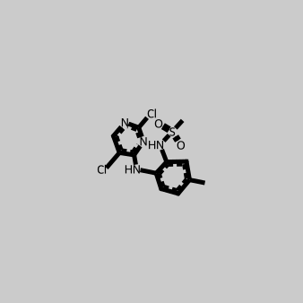 Cc1ccc(Nc2nc(Cl)ncc2Cl)c(NS(C)(=O)=O)c1